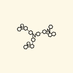 c1ccc(-n2c3ccc(-c4ccc(N(c5ccc(-c6ccc7oc8ccccc8c7c6)cc5)c5ccc(-c6cccc7c6oc6ccccc67)cc5)cc4)cc3c3ccc4ccccc4c32)cc1